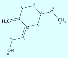 C=C1CCC(OC)C/C1=C/CO